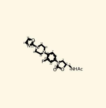 CC(=O)NC[C@H]1CN(c2ccc(N3CCN(c4ncco4)CC3)c(F)c2)C(=O)O1